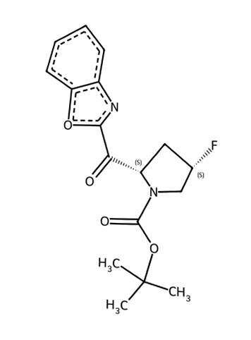 CC(C)(C)OC(=O)N1C[C@@H](F)C[C@H]1C(=O)c1nc2ccccc2o1